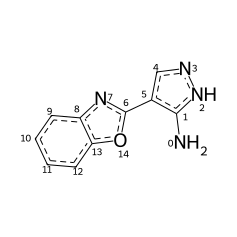 Nc1[nH]ncc1-c1nc2ccccc2o1